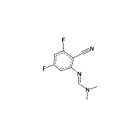 CN(C)/C=N/c1cc(F)cc(F)c1C#N